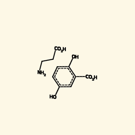 NCCC(=O)O.O=C(O)c1cc(O)ccc1O